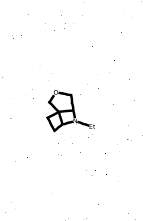 CCN1C2CCC23COCC13